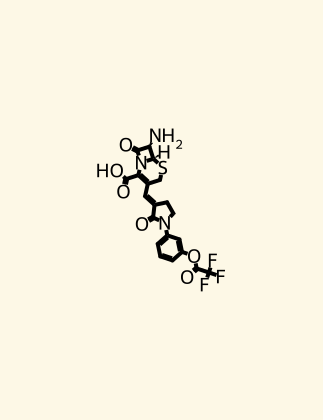 N[C@@H]1C(=O)N2C(C(=O)O)=C(/C=C3\CCN(c4cccc(OC(=O)C(F)(F)F)c4)C3=O)CS[C@H]12